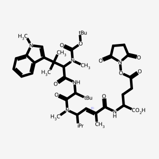 C/C(=C\C(C(C)C)N(C)C(=O)C(NC(=O)C(N(C)C(=O)OC(C)(C)C)C(C)(C)c1cn(C)c2ccccc12)C(C)(C)C)C(=O)NC(CCC(=O)ON1C(=O)CCC1=O)C(=O)O